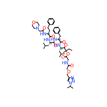 CCC(C)(OC(=O)CNC(=O)COCc1cn(C(C)C)nn1)C(=O)[C@H](CC(C)C)NC(=O)[C@H](Cc1ccccc1)NC(=O)[C@H](CC(C)C)NC(=O)[C@H](CCc1ccccc1)NC(=O)CN1CCOCC1